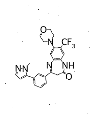 Cn1nccc1-c1cccc(C2=Nc3cc(N4CCOCC4)c(C(F)(F)F)cc3NC(=O)C2)c1